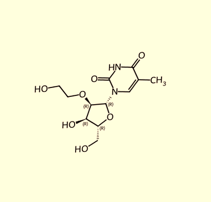 Cc1cn([C@@H]2O[C@H](CO)[C@@H](O)[C@H]2OCCO)c(=O)[nH]c1=O